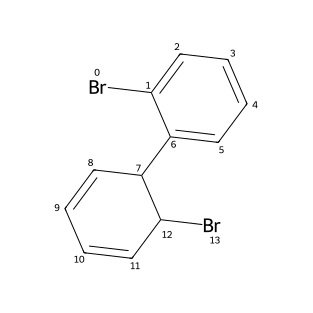 Brc1ccccc1C1C=CC=CC1Br